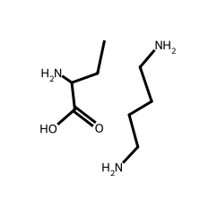 CCC(N)C(=O)O.NCCCCN